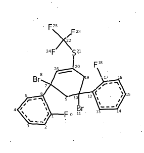 Fc1ccccc1C1(Br)[CH]C(Br)(c2ccccc2F)CC(SC(F)(F)F)=C1